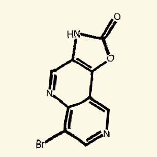 O=c1[nH]c2cnc3c(Br)cncc3c2o1